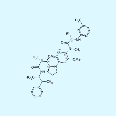 CC[C@H](C)[C@@H]([C@@H](CC(=O)N1CCC[C@H]1[C@H](OC)[C@@H](C)C(=O)NC(C(=O)O)C(C)c1ccccc1)OC)N(C)C(=O)[C@@H](Nc1nccc(C)n1)C(C)C